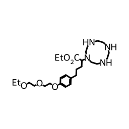 CCOCCOCCOc1ccc(CCCC(C(=O)OCC)N2CCNCCNCCNCC2)cc1